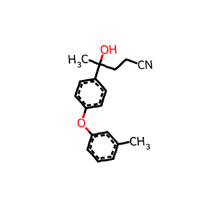 Cc1cccc(Oc2ccc(C(C)(O)CCC#N)cc2)c1